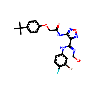 CC(C)(C)c1ccc(OCC(=O)Nc2nonc2/C(=N/CO)Nc2ccc(F)c(Br)c2)cc1